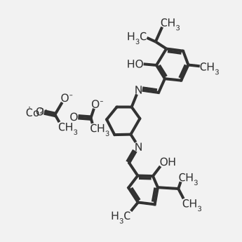 CC(=O)[O-].CC(=O)[O-].Cc1cc(C=NC2CCCC(N=Cc3cc(C)cc(C(C)C)c3O)C2)c(O)c(C(C)C)c1.[Co+2]